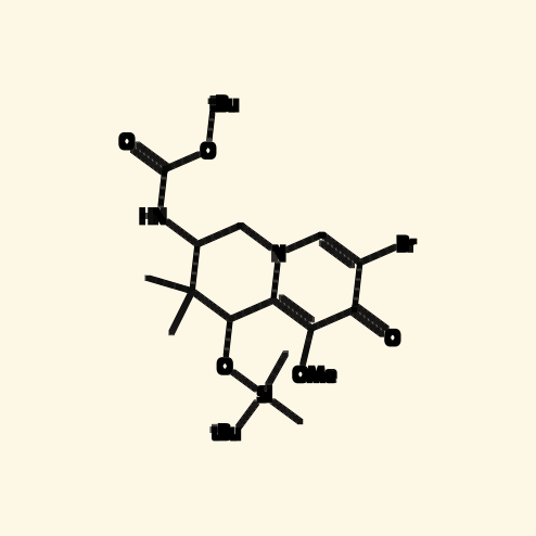 COc1c2n(cc(Br)c1=O)CC(NC(=O)OC(C)(C)C)C(C)(C)C2O[Si](C)(C)C(C)(C)C